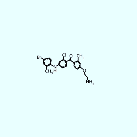 Cc1cc(Br)ccc1Nc1ccc(C(=O)c2ccc(OCCN)cc2C)c(Cl)c1